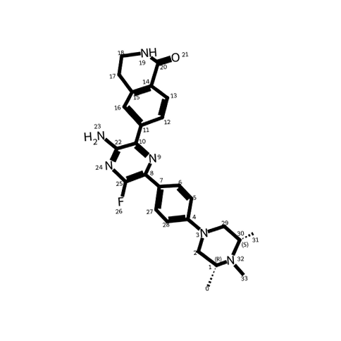 C[C@@H]1CN(c2ccc(-c3nc(-c4ccc5c(c4)CCNC5=O)c(N)nc3F)cc2)C[C@H](C)N1C